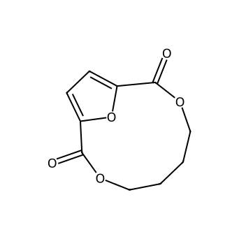 O=C1OCCCCOC(=O)c2ccc1o2